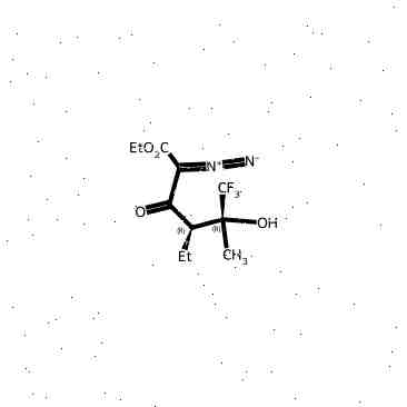 CCOC(=O)C(=[N+]=[N-])C(=O)[C@H](CC)[C@@](C)(O)C(F)(F)F